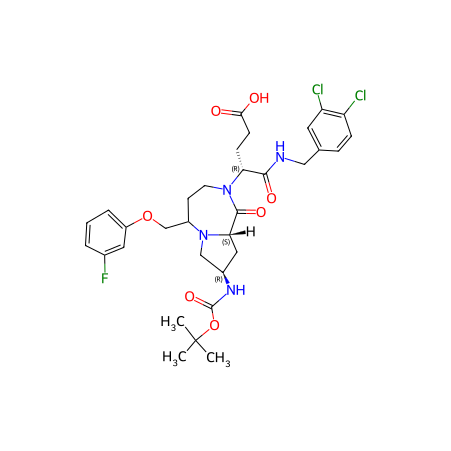 CC(C)(C)OC(=O)N[C@@H]1C[C@H]2C(=O)N([C@H](CCC(=O)O)C(=O)NCc3ccc(Cl)c(Cl)c3)CCC(COc3cccc(F)c3)N2C1